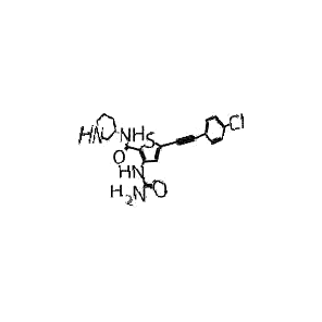 NC(=O)Nc1cc(C#Cc2ccc(Cl)cc2)sc1C(=O)N[C@H]1CCCNC1